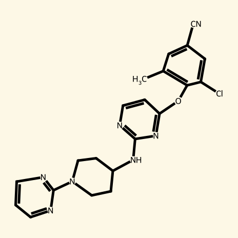 Cc1cc(C#N)cc(Cl)c1Oc1ccnc(NC2CCN(c3ncccn3)CC2)n1